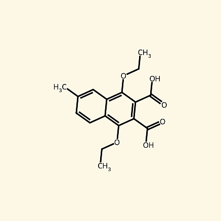 CCOc1c(C(=O)O)c(C(=O)O)c(OCC)c2cc(C)ccc12